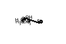 C[Si](C)(C)c1cc(C(O)CC=C(C=O)CCCCCCc2cc3ccccc3s2)co1